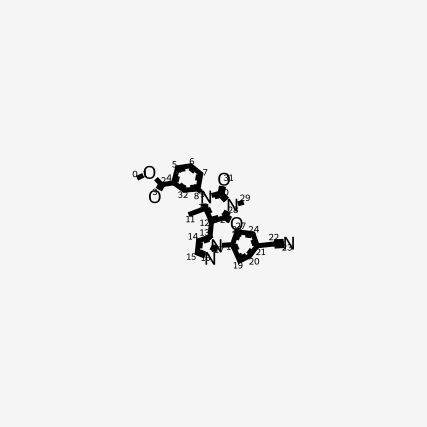 COC(=O)c1cccc(-n2c(C)c(-c3ccnn3-c3ccc(C#N)cc3)c(=O)n(C)c2=O)c1